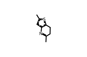 CC1=Nc2cc(C)sc2CC1